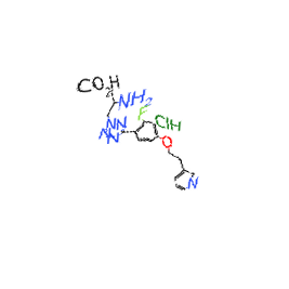 Cl.NC(CC(=O)O)Cn1nnc(-c2ccc(OCCc3cccnc3)cc2F)n1